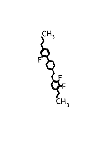 CCCCc1ccc(C2CCC(CCc3ccc(CCC)c(F)c3F)CC2)c(F)c1